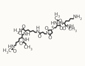 CCC(=O)NC(CCCCNC(C)=O)C(=O)NC(CCCCNC(=O)CCN1C(=O)CC(SCC(NC(C)=O)C(=O)NC(CCCCN)C(=O)NC)C1=O)C(N)=O